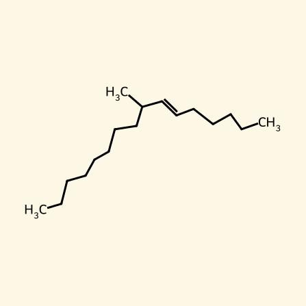 CCCCCC=CC(C)CCCCCCCC